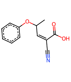 CC(C=C(C#N)C(=O)O)Oc1ccccc1